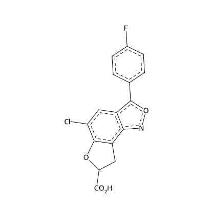 O=C(O)C1Cc2c(c(Cl)cc3c(-c4ccc(F)cc4)onc23)O1